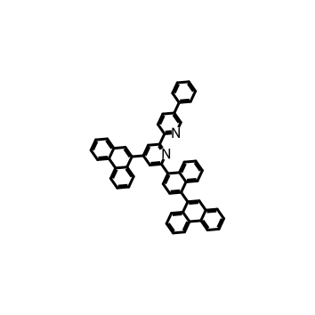 c1ccc(-c2ccc(-c3cc(-c4cc5ccccc5c5ccccc45)cc(-c4ccc(-c5cc6ccccc6c6ccccc56)c5ccccc45)n3)nc2)cc1